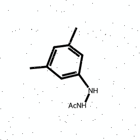 CC(=O)NNc1cc(C)cc(C)c1